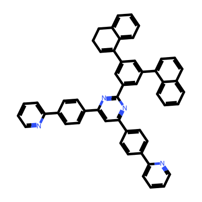 C1=C(c2cc(-c3nc(-c4ccc(-c5ccccn5)cc4)cc(-c4ccc(-c5ccccn5)cc4)n3)cc(-c3cccc4ccccc34)c2)c2ccccc2CC1